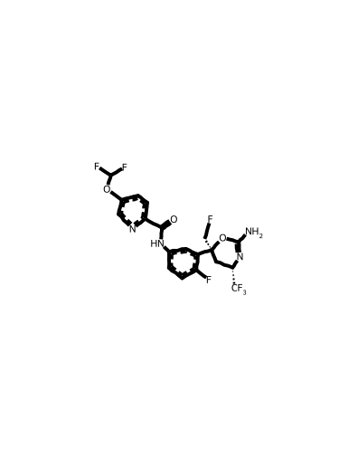 NC1=N[C@H](C(F)(F)F)C[C@@](CF)(c2cc(NC(=O)c3ccc(OC(F)F)cn3)ccc2F)O1